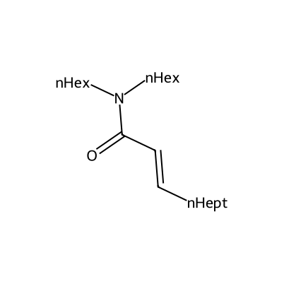 CCCCCCCC=CC(=O)N(CCCCCC)CCCCCC